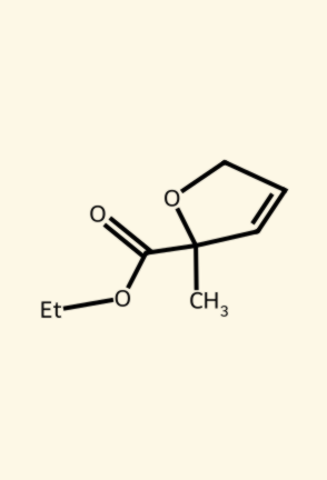 CCOC(=O)C1(C)C=CCO1